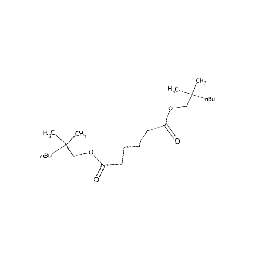 CCCCC(C)(C)COC(=O)CCCCC(=O)OCC(C)(C)CCCC